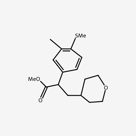 COC(=O)C(CC1CCOCC1)c1ccc(SC)c(C)c1